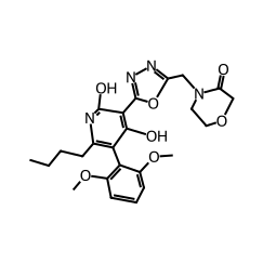 CCCCc1nc(O)c(-c2nnc(CN3CCOCC3=O)o2)c(O)c1-c1c(OC)cccc1OC